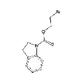 O=C(OCCBr)N1[CH]Cc2ccccc21